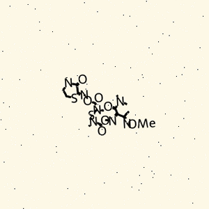 CON=C(C)C(=NOC(=O)N(C)SN(C)C(=O)ON=C1SCCN(C)C1=O)C(=O)N(C)C